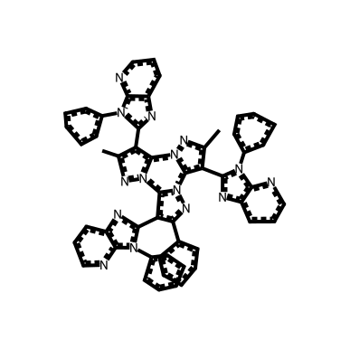 Cc1nn2c(c1-c1nc3cccnc3n1-c1ccccc1)n1nc(C)c(-c3nc4cccnc4n3-c3ccccc3)c1n1nc(-c3ccccc3)c(-c3nc4cccnc4n3-c3ccccc3)c21